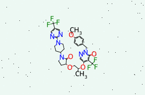 COc1ccc(Cn2ncc(O[C@@H](C)COC3CCN(C4CCN(c5ncc(C(F)(F)F)cn5)CC4)C3=O)c(C(F)(F)F)c2=O)cc1